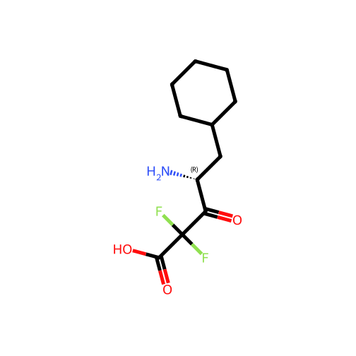 N[C@H](CC1CCCCC1)C(=O)C(F)(F)C(=O)O